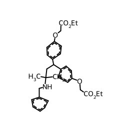 CCOC(=O)COc1ccc(C(CC(C)(C)NCc2ccccc2)c2ccc(OCC(=O)OCC)cc2)cc1